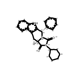 O=C1[C@H]2Cc3c([nH]c4ccccc34)[C@H](c3ccccc3)N2C(=O)N1C1CCCCC1